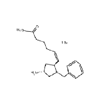 Br.COC(=O)CCC/C=C\[C@@H]1C[C@@H](N)CN1Cc1ccccc1